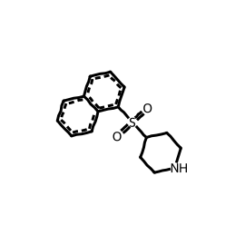 O=S(=O)(c1cccc2ccccc12)C1CCNCC1